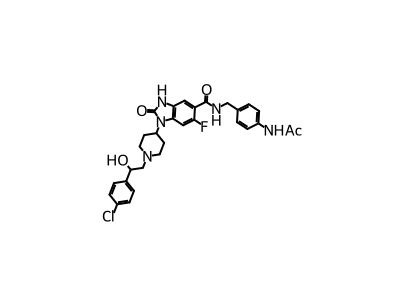 CC(=O)Nc1ccc(CNC(=O)c2cc3[nH]c(=O)n(C4CCN(CC(O)c5ccc(Cl)cc5)CC4)c3cc2F)cc1